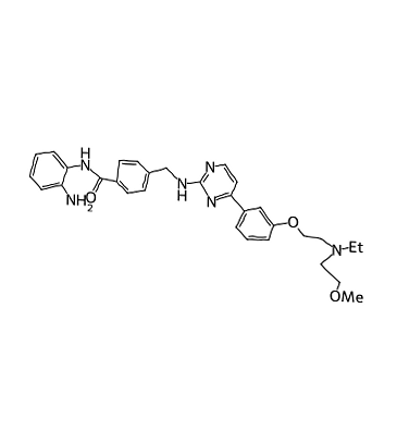 CCN(CCOC)CCOc1cccc(-c2ccnc(NCc3ccc(C(=O)Nc4ccccc4N)cc3)n2)c1